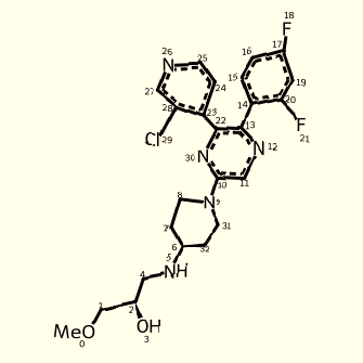 COC[C@H](O)CNC1CCN(c2cnc(-c3ccc(F)cc3F)c(-c3ccncc3Cl)n2)CC1